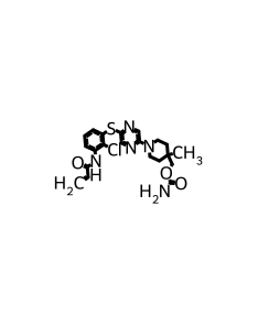 C=CC(=O)Nc1cccc(Sc2cnc(N3CCC(C)(COC(N)=O)CC3)cn2)c1Cl